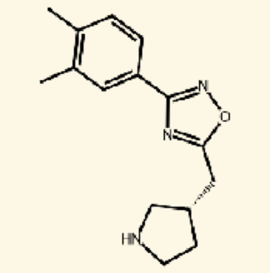 Cc1ccc(-c2noc(C[C@@H]3CCNC3)n2)cc1C